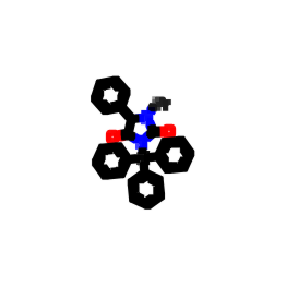 CC(C)N1C(=O)N([Si](c2ccccc2)(c2ccccc2)c2ccccc2)C(=O)C1c1ccccc1